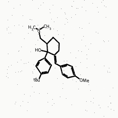 COc1ccc(C=C2CCCC(CN(C)C)C2(O)c2ccc(C(C)(C)C)cc2)cc1